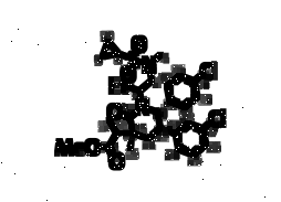 CCC(CN(C)S(=O)(=O)C1CC1)N1C(=O)[C@@](C)(C(C)C(=O)OC)C[C@H](c2cccc(Cl)c2)[C@H]1c1ccc(Cl)cc1